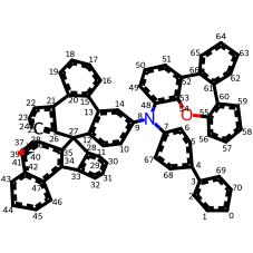 c1ccc(-c2ccc(N(c3ccc4c(c3)-c3ccccc3-c3ccccc3C43c4ccccc4-c4c3c3ccccc3c3ccccc43)c3cccc4c3Oc3ccccc3-c3ccccc3-4)cc2)cc1